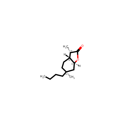 CCCC[C@@]1(C)CC[C@H]2[C@H](C1)OC(=O)[C@H]2C